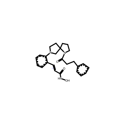 O=C(/C=C/c1ccccc1N1CCC2(CCCN2C(=O)CCc2ccccc2)C1)NO